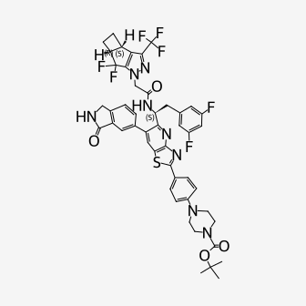 CC(C)(C)OC(=O)N1CCN(c2ccc(-c3nc4nc([C@H](Cc5cc(F)cc(F)c5)NC(=O)Cn5nc(C(F)(F)F)c6c5C(F)(F)[C@@H]5CC[C@H]65)c(-c5ccc6c(c5)C(=O)NC6)cc4s3)cc2)CC1